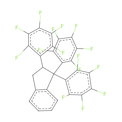 Fc1c(F)c(F)c(C2Cc3ccccc3C2(c2c(F)c(F)c(F)c(F)c2F)c2c(F)c(F)c(F)c(F)c2F)c(F)c1F